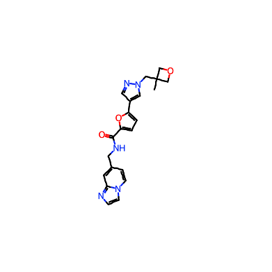 CC1(Cn2cc(-c3ccc(C(=O)NCc4ccn5ccnc5c4)o3)cn2)COC1